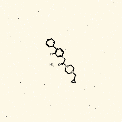 Cl.O=C(Cc1ccc(-c2ccccc2)c(F)c1)N1CCN(CC2CC2)CC1